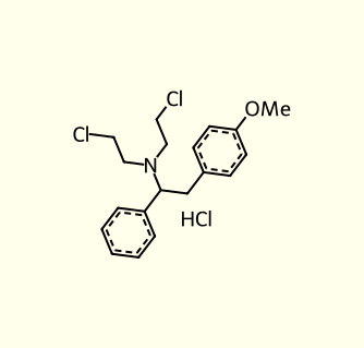 COc1ccc(CC(c2ccccc2)N(CCCl)CCCl)cc1.Cl